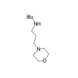 CCC(C)NCCCN1CCOCC1